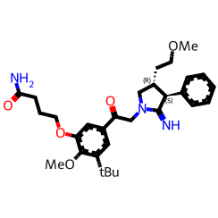 COCC[C@H]1CN(CC(=O)c2cc(OCCCC(N)=O)c(OC)c(C(C)(C)C)c2)C(=N)[C@@H]1c1ccccc1